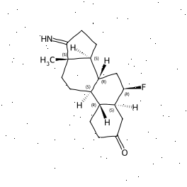 C[C@]12CC[C@@H]3[C@H]4CCC(=O)C[C@@H]4[C@H](F)C[C@H]3[C@@H]1CCC2=N